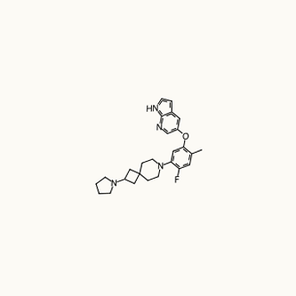 Cc1cc(F)c(N2CCC3(CC2)CC(N2CCCC2)C3)cc1Oc1cnc2[nH]ccc2c1